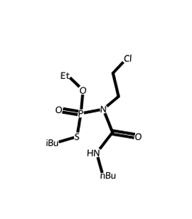 CCCCNC(=O)N(CCCl)P(=O)(OCC)SC(C)CC